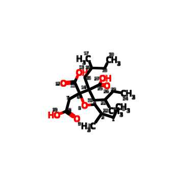 CCC(C)COC(CC(=O)O)(C(=O)O)C(CC(C)CC)(CC(C)CC)C(=O)O